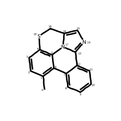 Cc1ccc2c3c1c1ccccc1c1ncc(n13)CS2